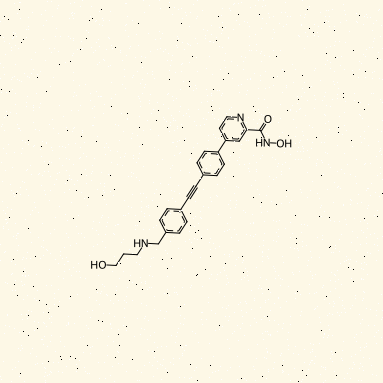 O=C(NO)c1cc(-c2ccc(C#Cc3ccc(CNCCCO)cc3)cc2)ccn1